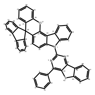 c1ccc(-c2nc(-n3c4ccccc4c4c5c(ccc43)C3(c4ccccc4O5)c4ccccc4-c4ccccc43)nc3c2sc2ccccc23)cc1